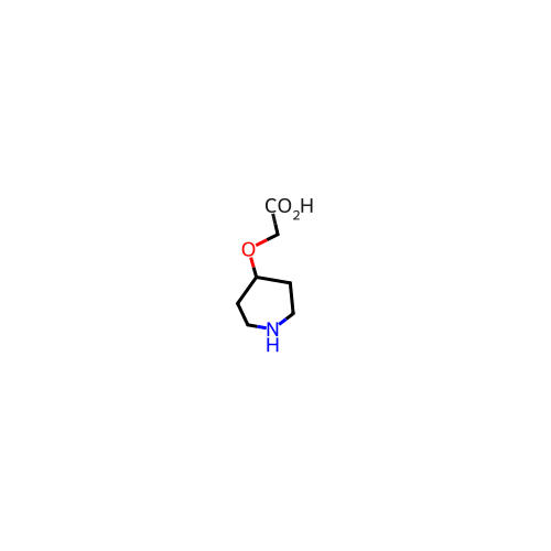 O=C(O)COC1CCNCC1